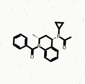 CC(=O)N(C1CC1)[C@H]1C[C@@H](C)N(C(=O)c2ccccc2)c2ccccc21